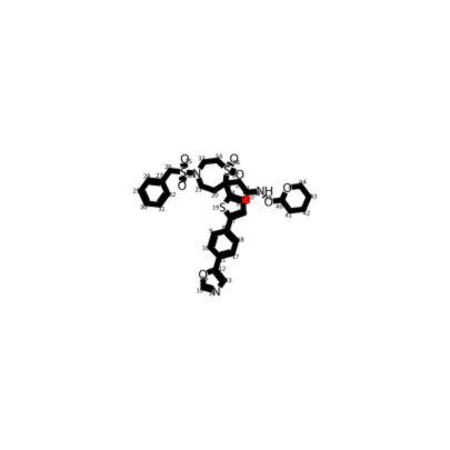 O=C(CC1(c2ccc(-c3ccc(-c4cnco4)cc3)s2)CCN(S(=O)(=O)Cc2ccccc2)CCS1(=O)=O)NOC1CCCCO1